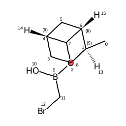 C[C@H]1CC[C@@H]2C[C@H]1C2OB(O)CBr